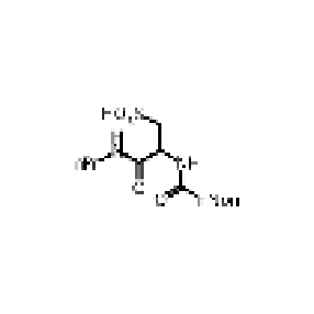 CCCCCCCCCC(=O)NC(CS(=O)(=O)O)C(=O)NCCC